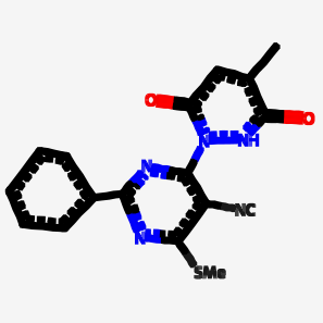 [C-]#[N+]c1c(SC)nc(-c2ccccc2)nc1-n1[nH]c(=O)c(C)cc1=O